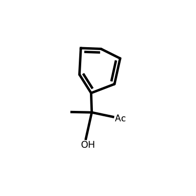 CC(=O)C(C)(O)c1ccccc1